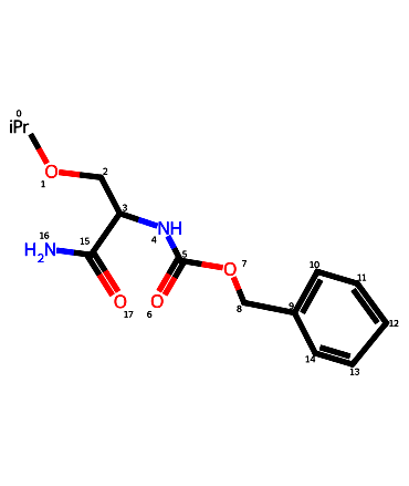 CC(C)OCC(NC(=O)OCc1ccccc1)C(N)=O